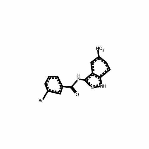 O=C(Nc1n[nH]c2ccc([N+](=O)[O-])cc12)c1cccc(Br)c1